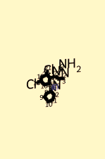 Nc1ncc(/N=N/c2ccccc2)c(-c2ccc(Cl)cc2Cl)n1